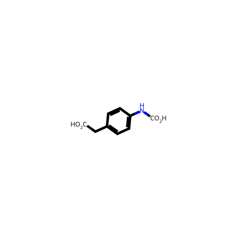 O=C(O)Cc1ccc(NC(=O)O)cc1